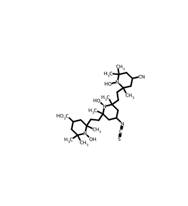 CC1(C)CC(C#N)CC(C)(CCC2(C)CC(N=C=S)CC(C)(CCC3(C)CC(C(=O)O)CC(C)(C)N3O)N2O)N1O